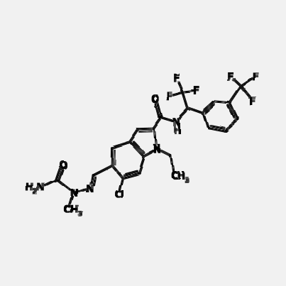 CCn1c(C(=O)NC(c2cccc(C(F)(F)F)c2)C(F)(F)F)cc2cc(/C=N/N(C)C(N)=O)c(Cl)cc21